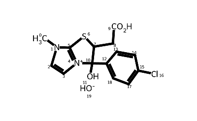 Cn1cc[n+]2c1SC(CC(=O)O)C2(O)c1ccc(Cl)cc1.[OH-]